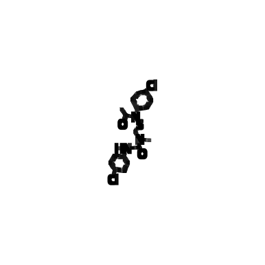 CC(=O)N(SCN(C)C(=O)Nc1ccc(Cl)cc1)c1ccc(Cl)cc1